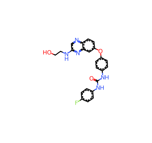 O=C(Nc1ccc(F)cc1)Nc1ccc(Oc2ccc3ncc(NCCO)nc3c2)cc1